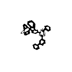 c1ccc(-c2cccc(-c3nc(-c4ccccc4)nc(-c4ccc5c(c4)-c4ccccc4C54c5ccccc5Oc5ccccc54)n3)c2)cc1